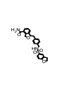 NC(=O)c1cccc2c1COC2Cc1ccc(CNS(=O)(=O)c2ccc3c(c2)CCO3)cc1